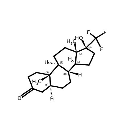 C[C@]12CCC(=O)C[C@@H]1CC[C@@H]1[C@@H]2CC[C@@]2(C)[C@H]1CC[C@@]2(O)C(F)(F)F